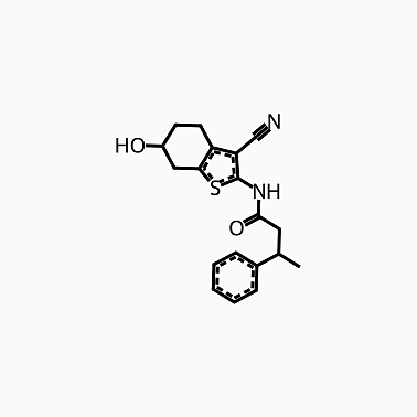 CC(CC(=O)Nc1sc2c(c1C#N)CCC(O)C2)c1ccccc1